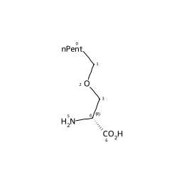 CCCCCCOC[C@@H](N)C(=O)O